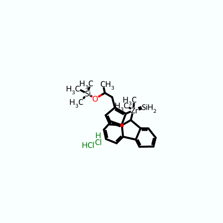 CC(CC1=[C]([Zr]([CH3])([CH3])(=[SiH2])[CH]2c3ccccc3-c3ccccc32)CC=C1)O[Si](C)(C)C.Cl.Cl